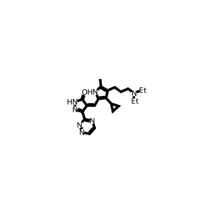 CCN(CC)CCCc1c(C)[nH]c(C=C2C(=O)NN=C2c2nccnn2)c1C1CC1